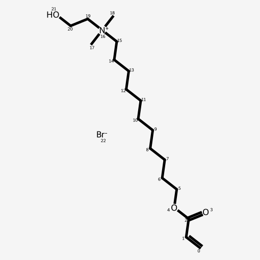 C=CC(=O)OCCCCCCCCCCC[N+](C)(C)CCO.[Br-]